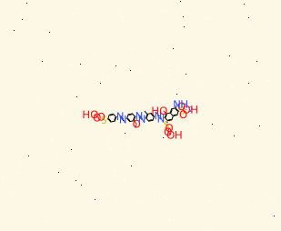 COc1cc(N=Nc2ccc(SOOO)cc2)ccc1N=Nc1ccc(N=Nc2c(SOOO)cc3cc(S(=O)(=O)O)c(N)cc3c2O)cc1C